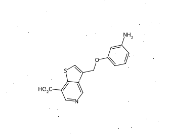 Nc1cccc(OCc2csc3c(C(=O)O)cncc23)c1